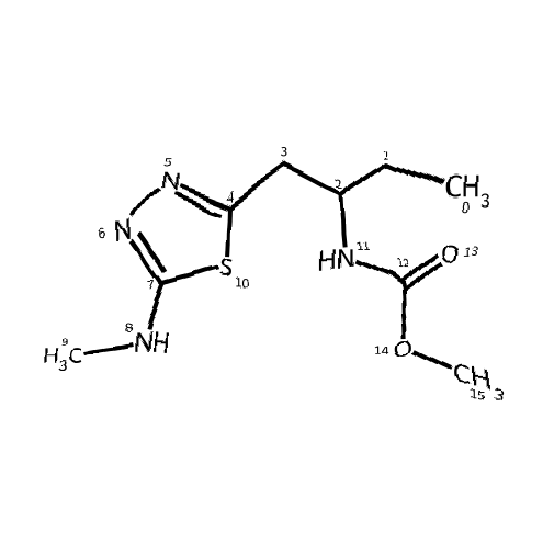 CCC(Cc1nnc(NC)s1)NC(=O)OC